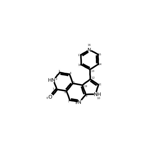 O=c1[nH]ccc2c1cnc1[nH]cc(-c3ccncc3)c12